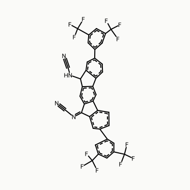 N#C/N=C1/c2cc(-c3cc(C(F)(F)F)cc(C(F)(F)F)c3)ccc2-c2cc3c(cc21)C(NC#N)c1cc(-c2cc(C(F)(F)F)cc(C(F)(F)F)c2)ccc1-3